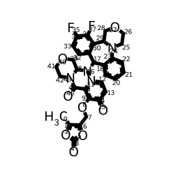 Cc1oc(=O)oc1COc1c2n(ccc1=O)N(C1c3ccccc3N3CCOCC3c3c1ccc(F)c3F)C1COCCN1C2=O